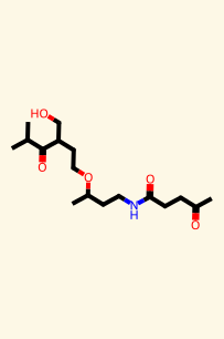 CC(=O)CCC(=O)NCCC(C)OCCC(CO)C(=O)C(C)C